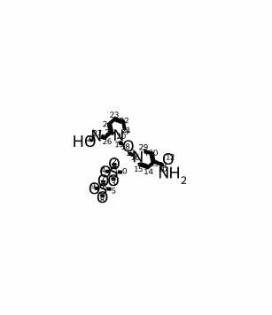 CS(=O)(=O)[O-].CS(=O)(=O)[O-].NC(=O)c1cc[n+](COC[n+]2ccccc2C=NO)cc1